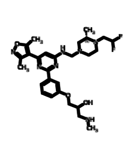 CNCC(O)COc1cccc(-c2nc(NCN3CCN(CC(F)F)[C@@H](C)C3)cc(-c3c(C)noc3C)n2)c1